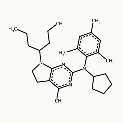 CCCC(CCC)N1CCc2c(C)nc(N(c3c(C)cc(C)cc3C)C3CCCC3)nc21